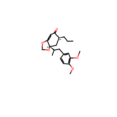 CCC[C@H]1C[C@]2(C(C)Cc3ccc(OC)c(OC)c3)OCOC2=CC1=O